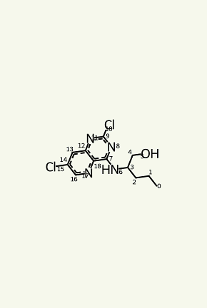 CCCC(CO)Nc1nc(Cl)nc2cc(Cl)cnc12